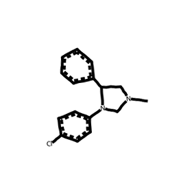 CN1CC(c2ccccc2)N(c2ccc(Cl)cc2)C1